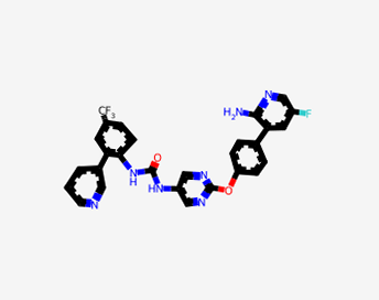 Nc1ncc(F)cc1-c1ccc(Oc2ncc(NC(=O)Nc3ccc(C(F)(F)F)cc3-c3cccnc3)cn2)cc1